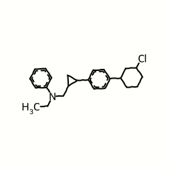 CCN(CC1CC1c1ccc(C2CCCC(Cl)C2)cc1)c1ccccc1